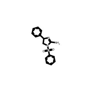 NC1=NC(c2ccccc2)CN1S(=O)(=O)c1ccccc1